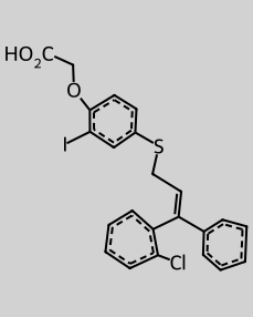 O=C(O)COc1ccc(SCC=C(c2ccccc2)c2ccccc2Cl)cc1I